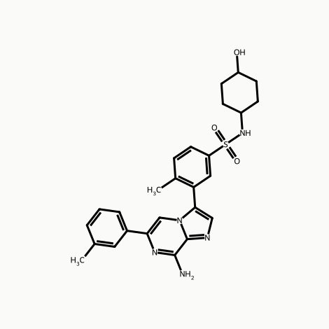 Cc1cccc(-c2cn3c(-c4cc(S(=O)(=O)NC5CCC(O)CC5)ccc4C)cnc3c(N)n2)c1